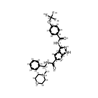 O=C(Nc1n[nH]c2sc(C(=O)N[C@H](CN3CCOCC3)c3ccccc3)cc12)c1ccc(OC(F)(F)F)cc1